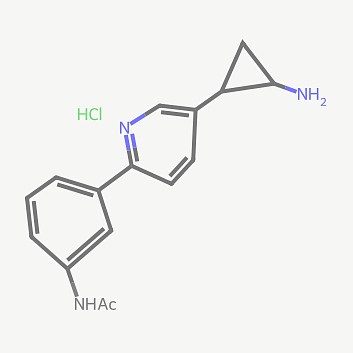 CC(=O)Nc1cccc(-c2ccc(C3CC3N)cn2)c1.Cl